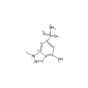 Cn1ncc2c(O)cc(S(N)(=O)=O)cc21